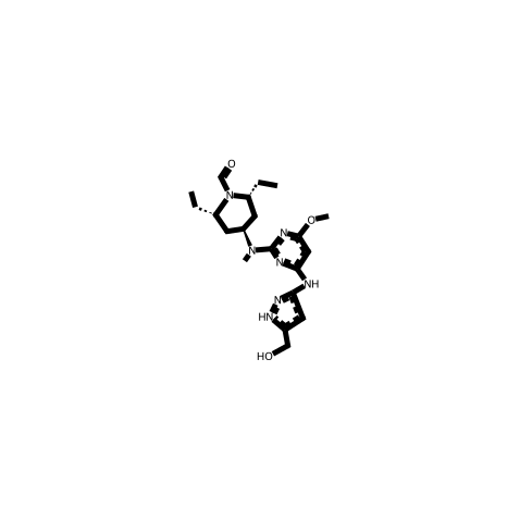 CC[C@@H]1C[C@@H](N(C)c2nc(Nc3cc(CO)[nH]n3)cc(OC)n2)C[C@H](CC)N1C=O